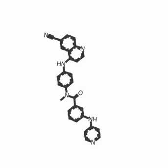 CN(C(=O)c1cccc(Nc2ccncc2)c1)c1ccc(Nc2ccnc3ccc(C#N)cc23)cc1